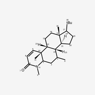 CC1CC2N(C)C(=O)C=C[C@]2(C)[C@@H]2CC[C@]3(C)C(C(C)(C)C)CC[C@H]3[C@H]12